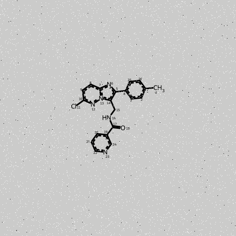 Cc1ccc(-c2nc3ccc(Cl)nn3c2CNC(=O)c2cccnc2)cc1